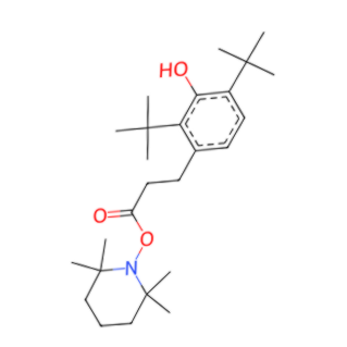 CC(C)(C)c1ccc(CCC(=O)ON2C(C)(C)CCCC2(C)C)c(C(C)(C)C)c1O